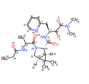 CN(C)C(=O)C(=O)[C@H](Cc1ccccn1)NC(=O)[C@@H]1[C@@H]2[C@H](CN1C(=O)C(NC(=O)CC(C)(C)C)C(C)(C)C)C2(C)C